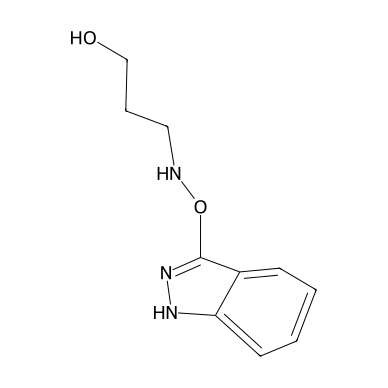 OCCCNOc1n[nH]c2ccccc12